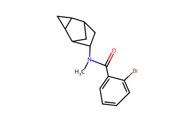 CN(C(=O)c1ccccc1Br)C1CC2CC1C1CC21